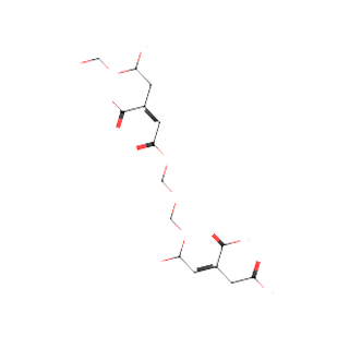 O=C(O)C/C(=C/C(O)OCOCOC(=O)/C=C(/CC(O)OCO)C(=O)O)C(=O)O